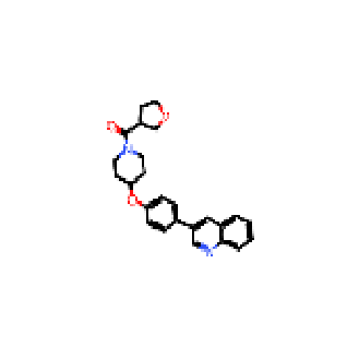 O=C(C1CCOC1)N1CCC(Oc2ccc(-c3cnc4ccccc4c3)cc2)CC1